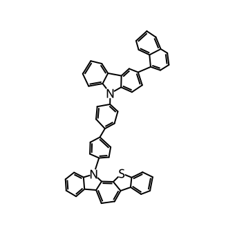 c1ccc2c(-c3ccc4c(c3)c3ccccc3n4-c3ccc(-c4ccc(-n5c6ccccc6c6ccc7c8ccccc8sc7c65)cc4)cc3)cccc2c1